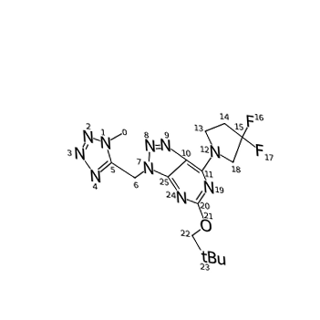 Cn1nnnc1Cn1nnc2c(N3CCC(F)(F)C3)nc(OCC(C)(C)C)nc21